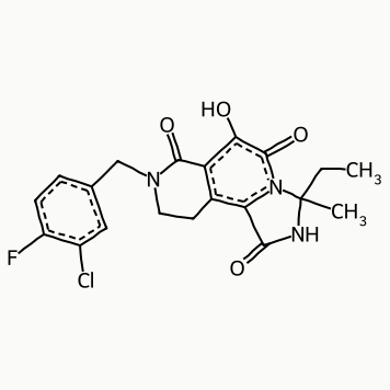 CCC1(C)NC(=O)c2c3c(c(O)c(=O)n21)C(=O)N(Cc1ccc(F)c(Cl)c1)CC3